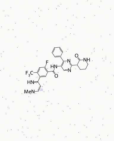 CN/C=C\C(=N)c1cc(C(=O)Nc2cnc(C3CCCNC3=O)nc2-c2ccccc2)c(F)cc1C(F)(F)F